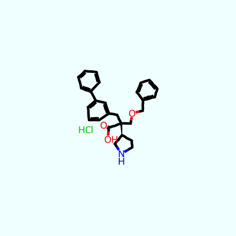 Cl.O=C(O)C(COCc1ccccc1)(Cc1cccc(-c2ccccc2)c1)[C@H]1CCNC1